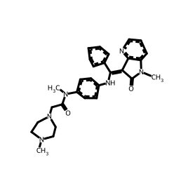 CN1CCN(CC(=O)N(C)c2ccc(N/C(=C3\C(=O)N(C)c4cccnc43)c3ccccc3)cc2)CC1